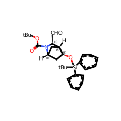 CC(C)(C)OC(=O)N1[C@@H]2C[C@@H]([C@@H](O[Si](c3ccccc3)(c3ccccc3)C(C)(C)C)C2)[C@@H]1C=O